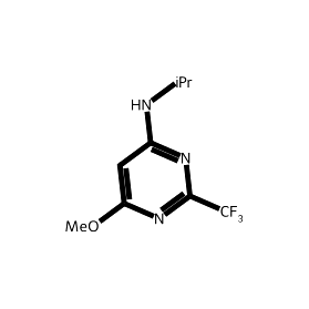 COc1cc(NC(C)C)nc(C(F)(F)F)n1